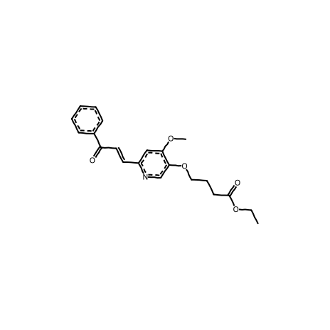 CCOC(=O)CCCOc1cnc(C=CC(=O)c2ccccc2)cc1OC